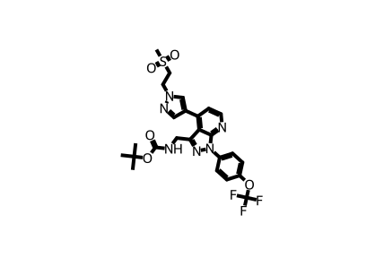 CC(C)(C)OC(=O)NCc1nn(-c2ccc(OC(F)(F)F)cc2)c2nccc(-c3cnn(CCS(C)(=O)=O)c3)c12